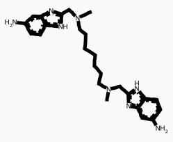 CN(CCCCCCCN(C)Cc1nc2cc(N)ccc2[nH]1)Cc1nc2cc(N)ccc2[nH]1